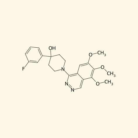 COc1cc2c(N3CCC(O)(c4cccc(F)c4)CC3)nncc2c(OC)c1OC